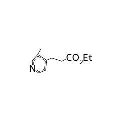 CCOC(=O)CCc1ccncc1C